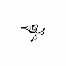 CO[Si](C[SiH2]C)(OC)OC